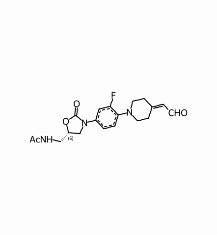 CC(=O)NC[C@H]1CN(c2ccc(N3CCC(=CC=O)CC3)c(F)c2)C(=O)O1